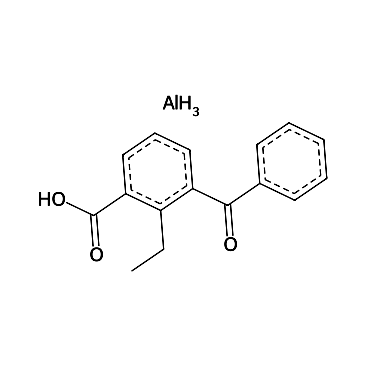 CCc1c(C(=O)O)cccc1C(=O)c1ccccc1.[AlH3]